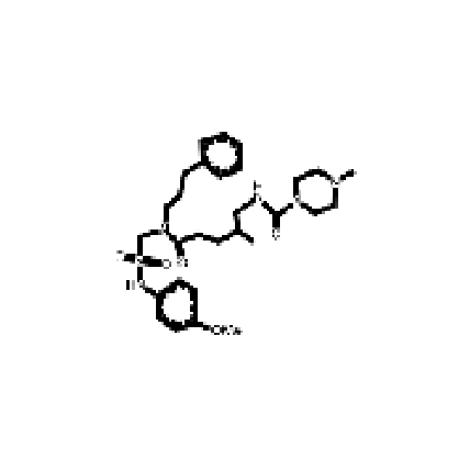 COc1ccc(NS(=O)(=O)CN(CCCc2ccccc2)C(=O)CCC(C)CNC(=O)N2CCN(C)CC2)cc1